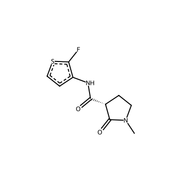 CN1CC[C@@H](C(=O)Nc2ccsc2F)C1=O